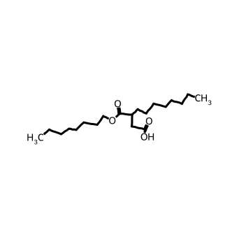 CCCCCCCCOC(=O)C(CCCCCCCC)CC(=O)O